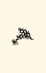 CC#C[C@]1(O)CC[C@H]2[C@@H]3CCC4=CC(=O)CCC4=C3[C@@H](c3ccc(N(C)CCCC(=O)O)cc3)C[C@@]21C